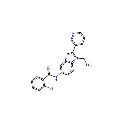 CCn1c(-c2cccnc2)cc2cc(NC(=O)c3ccccc3Cl)ccc21